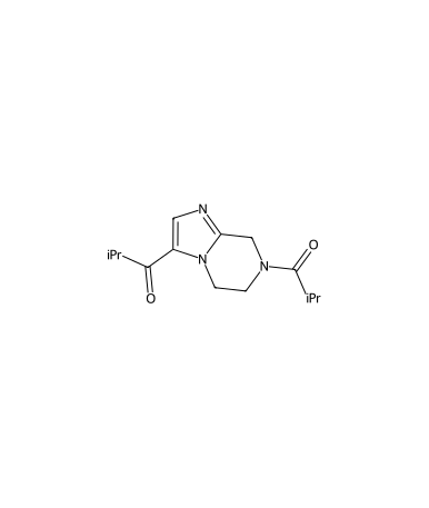 CC(C)C(=O)c1cnc2n1CCN(C(=O)C(C)C)C2